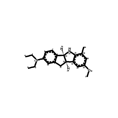 CCN(CC)c1ccc2c(c1)C[C@@H]1c3cc(OC)cc(C)c3N[C@H]21